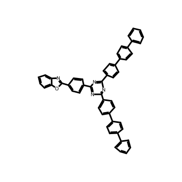 c1ccc(-c2ccc(-c3ccc(-c4nc(-c5ccc(-c6ccc(-c7ccccc7)cc6)cc5)nc(-c5ccc(-c6nc7ccccc7o6)cc5)n4)cc3)cc2)cc1